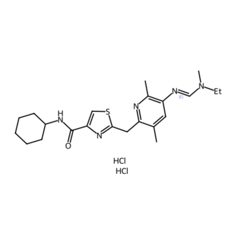 CCN(C)/C=N/c1cc(C)c(Cc2nc(C(=O)NC3CCCCC3)cs2)nc1C.Cl.Cl